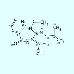 CCN1c2ncccc2C(=O)Nc2c(C)cc(C(C)C)nc21